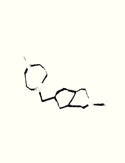 CC(C)N1CCN(CC2CC3CN(C(C)C)CC3C2)CC1